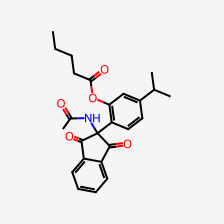 CCCCC(=O)Oc1cc(C(C)C)ccc1C1(NC(C)=O)C(=O)c2ccccc2C1=O